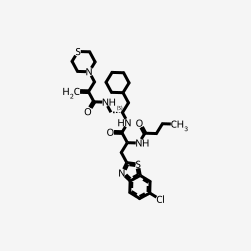 C=C(CN1CCSCC1)C(=O)NC[C@H](CC1CCCCC1)NC(=O)C(Cc1nc2ccc(Cl)cc2s1)NC(=O)CCC